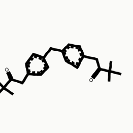 CC(C)(C)C(=O)Cc1ccc(Cc2ccc(CC(=O)C(C)(C)C)cc2)cc1